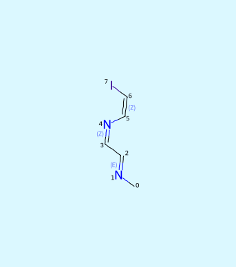 C/N=C/C=N\C=C/I